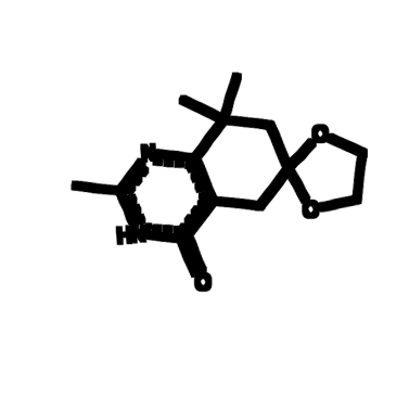 Cc1nc2c(c(=O)[nH]1)CC1(CC2(C)C)OCCO1